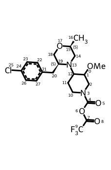 COC1CN(C(=O)OC(=O)C(F)(F)F)CCC1N1C[C@H](C)OC[C@@H]1Cc1ccc(Cl)cc1